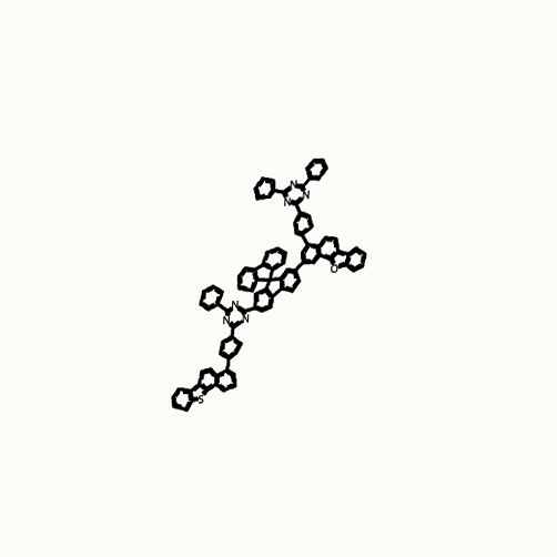 c1ccc(-c2nc(-c3ccccc3)nc(-c3ccc(-c4cc(-c5ccc6c(c5)C5(c7ccccc7-c7ccccc75)c5cc(-c7nc(-c8ccccc8)nc(-c8ccc(-c9cccc%10c9ccc9c%11ccccc%11sc%109)cc8)n7)ccc5-6)cc5c4ccc4c6ccccc6oc54)cc3)n2)cc1